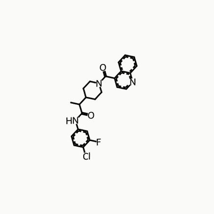 CC(C(=O)Nc1ccc(Cl)c(F)c1)C1CCN(C(=O)c2ccnc3ccccc23)CC1